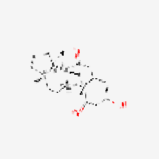 C[C@@]12CCC[C@H]1[C@@H]1C(=O)CC3CC(O)CC(=O)[C@]3(C)[C@@H]1CC2